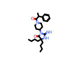 CCCCC1(CCCC)NC(=N)N(C2CCN(C(=O)C(C)c3ccccc3)CC2)C1=O